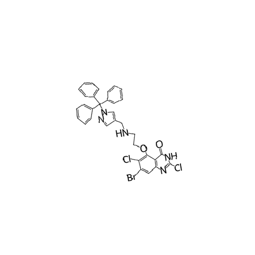 O=c1[nH]c(Cl)nc2cc(Br)c(Cl)c(OCCNCc3cnn(C(c4ccccc4)(c4ccccc4)c4ccccc4)c3)c12